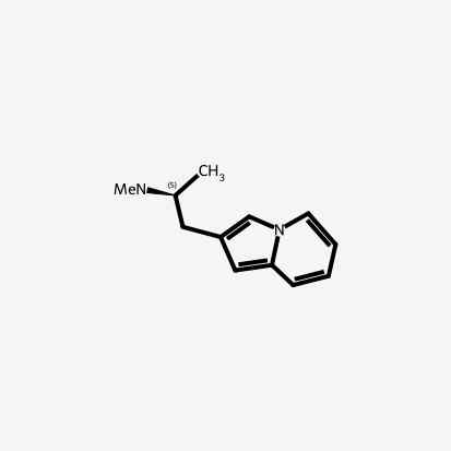 CN[C@@H](C)Cc1cc2ccccn2c1